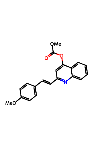 COC(=O)Oc1cc(C=Cc2ccc(OC)cc2)nc2ccccc12